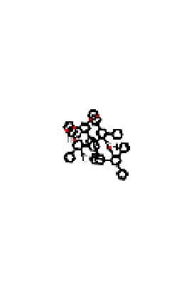 C#Cc1c(-c2ccccc2)cc(-c2ccccc2)cc1C12CC3CC(C1)CC(C14CC5(c6cc(-c7ccccc7)cc(-c7ccccc7)c6C#C)CC(c6cc(-c7ccccc7)cc(-c7ccccc7)c6C#C)(CC(c6cc(-c7ccccc7)cc(-c7ccccc7)c6C#C)(C5)C1)C4)(C3)C2